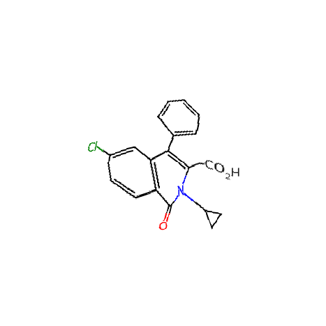 O=C(O)c1c(-c2ccccc2)c2cc(Cl)ccc2c(=O)n1C1CC1